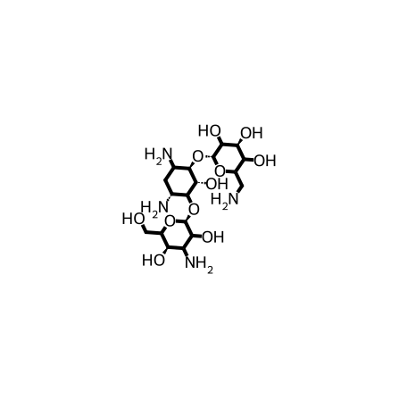 NCC1O[C@H](O[C@@H]2C(N)C[C@@H](N)C(O[C@@H]3OC(CO)[C@H](O)C(N)C3O)[C@H]2O)C(O)[C@@H](O)C1O